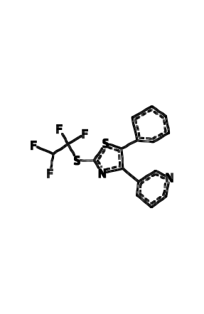 FC(F)C(F)(F)Sc1nc(-c2cccnc2)c(-c2ccccc2)s1